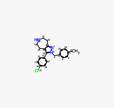 Cc1ccc(Cn2nc3c(c2-c2ccc(Cl)cc2)CCNCC3)cc1